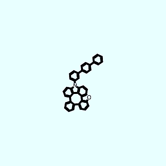 c1ccc(-c2ccc(-c3cccc(-n4c5cccc6c7ccccc7c7cccc8oc9ccc4c(c9c87)c65)c3)cc2)cc1